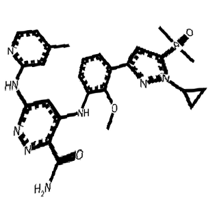 COc1c(Nc2cc(Nc3cc(C)ccn3)nnc2C(N)=O)cccc1-c1cc(P(C)(C)=O)n(C2CC2)n1